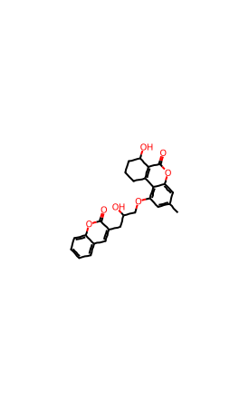 Cc1cc(OCC(O)Cc2cc3ccccc3oc2=O)c2c3c(c(=O)oc2c1)C(O)CCC3